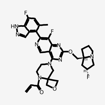 C=CC(=O)N1CCN(c2nc(OC[C@@]34CCCN3C[C@H](F)C4)nc3c(F)c(-c4c(C)cc(F)c5[nH]ncc45)ncc23)CC12COC2